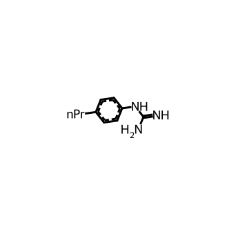 CCCc1ccc(NC(=N)N)cc1